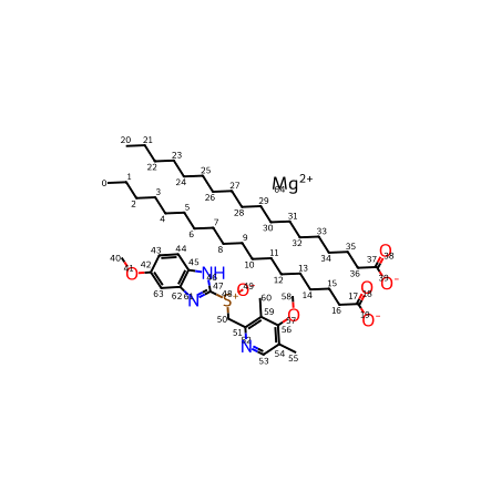 CCCCCCCCCCCCCCCCCC(=O)[O-].CCCCCCCCCCCCCCCCCC(=O)[O-].COc1ccc2[nH]c([S+]([O-])Cc3ncc(C)c(OC)c3C)nc2c1.[Mg+2]